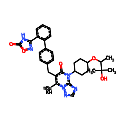 CCCCc1c(Cc2ccc(-c3ccccc3-c3noc(=O)[nH]3)cc2)c(=O)n(C2CCC(OC(C)C(C)(C)O)CC2)c2ncnn12.[KH]